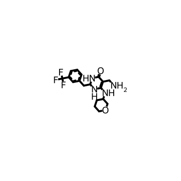 NCC1=C(NC2CCCOC2)NC(Cc2cccc(C(F)(F)F)c2)NC1=O